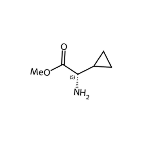 COC(=O)[C@@H](N)C1CC1